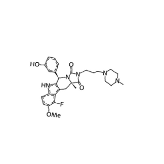 COc1ccc2[nH]c3c(c2c1F)C[C@@]1(C)C(=O)N(CCCN2CCN(C)CC2)C(=O)N1[C@@H]3c1cccc(O)c1